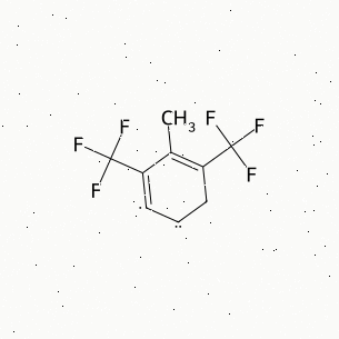 CC1=C(C(F)(F)F)C[C][C]=C1C(F)(F)F